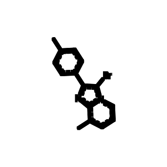 Cc1ccc(-c2nc3c(C)cccn3c2Br)cc1